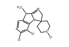 CN1C2=NCC3(CC[S+]([O-])CC3)N2c2c1cnc(Cl)[n+]2[O-]